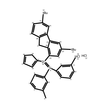 Cc1cccc([Si](c2cccc(C)c2)=[Zr]([C]2=CC=CC2)[c]2cc(C(C)(C)C)cc3c2Cc2ccc(C(C)(C)C)cc2-3)c1.Cl.Cl